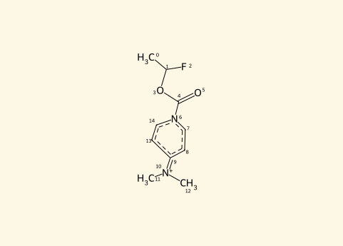 CC(F)OC(=O)n1ccc(=[N+](C)C)cc1